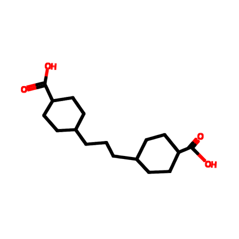 O=C(O)C1CCC(CCCC2CCC(C(=O)O)CC2)CC1